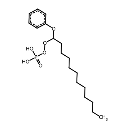 CCCCCCCCCCCC(OOP(=O)(O)O)Oc1ccccc1